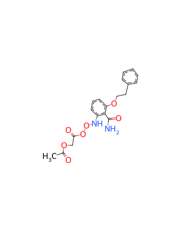 CC(=O)OCC(=O)OONc1cccc(OCCc2ccccc2)c1C(N)=O